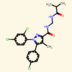 Cc1c(C(=O)NCNC(=O)C(C)C)nn(-c2ccc(Cl)cc2Cl)c1-c1ccc(Cl)cc1